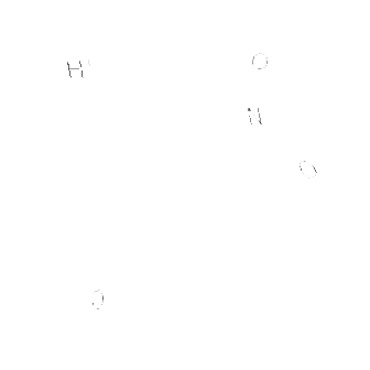 COc1cccc([N+](=O)[O-])c1.[H+]